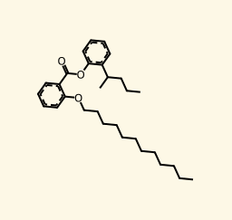 CCCCCCCCCCCCOc1ccccc1C(=O)Oc1ccccc1C(C)CCC